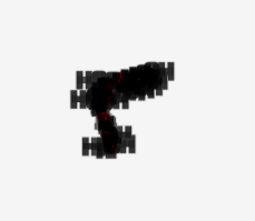 Br.CC(=O)O.CCCCN(CCO)CCO.CCCCN(CCO)CCO.CN(C)CCO.CN(C)CCO.CN(C)CCO.CN(C)CCO.I.O=CO.O=NO.O=[N+]([O-])O